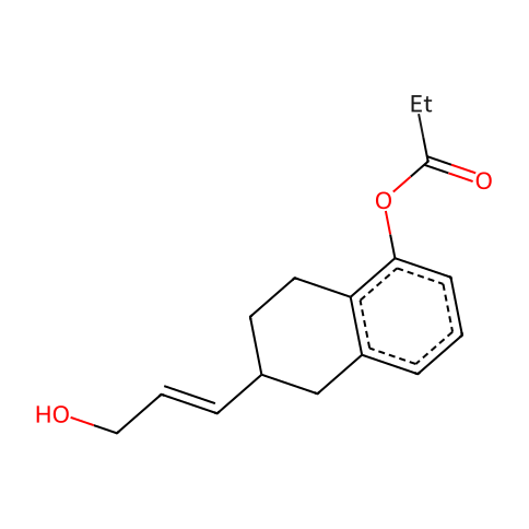 CCC(=O)Oc1cccc2c1CCC(C=CCO)C2